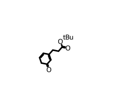 CC(C)(C)OC(=O)CCC1=CC(=O)CC=C1